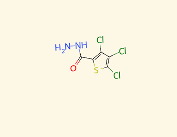 NNC(=O)c1sc(Cl)c(Cl)c1Cl